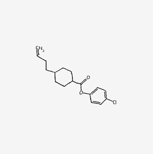 C=CCCC1CCC(C(=O)Oc2ccc(Cl)cc2)CC1